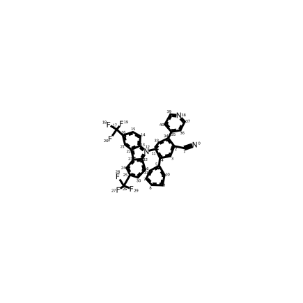 N#Cc1cc(-c2ccccc2)c(-n2c3ccc(C(F)(F)F)cc3c3cc(C(F)(F)F)ccc32)cc1-c1ccncc1